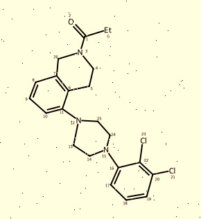 CCC(=O)N1CCc2c(cccc2N2CCN(c3cccc(Cl)c3Cl)CC2)C1